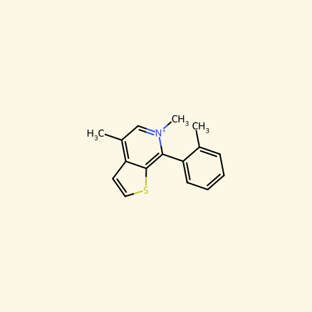 Cc1ccccc1-c1c2sccc2c(C)c[n+]1C